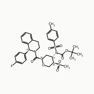 Cc1ccc(S(=O)(=O)N(C(=O)OC(C)(C)C)[C@H]2C[C@H](C(=O)N3CCc4ccccc4[C@@H]3c3ccc(F)cc3)OC[C@@H]2S(C)(=O)=O)cc1